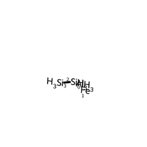 [AlH3].[Fe].[SiH3][SiH3]